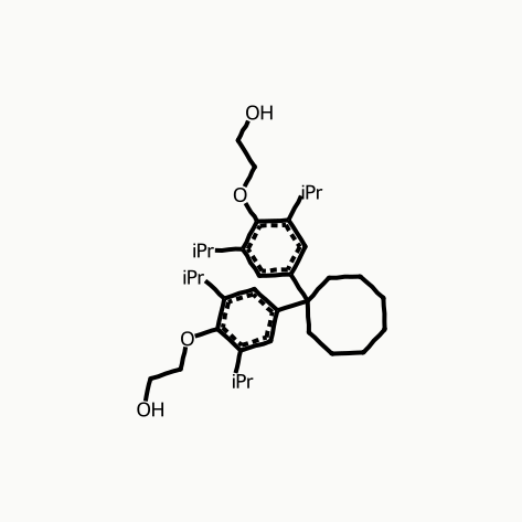 CC(C)c1cc(C2(c3cc(C(C)C)c(OCCO)c(C(C)C)c3)CCCCCCC2)cc(C(C)C)c1OCCO